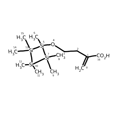 C=C(CCO[Si]1(C)[Si](C)(C)[Si](C)(C)[Si]1(C)C)C(=O)O